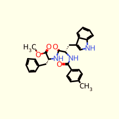 COC(=O)[C@@H](Cc1ccccc1)NC(=O)[C@H](Cc1c[nH]c2ccccc12)NC(=O)c1ccc(C)cc1